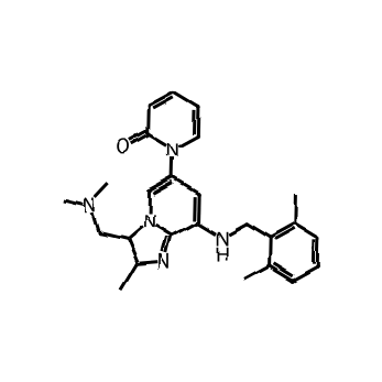 Cc1cccc(C)c1CNC1=CC(n2ccccc2=O)=CN2C1=NC(C)C2CN(C)C